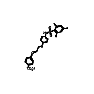 Cc1cc(C)c(S(=O)(=O)Nc2ccc(OCCOc3ccc(C(=O)O)cc3)cc2)c(C)c1